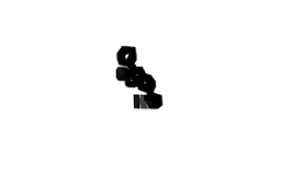 O=c1oc2cc(-c3ccc[nH]3)ccc2cc1-c1ccccc1